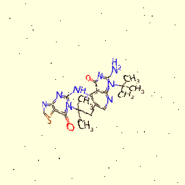 CC(C)(C)n1c(N)nc(=O)c2cc(CC(C)(C)n3c(N)nc4ncsc4c3=O)cnc21